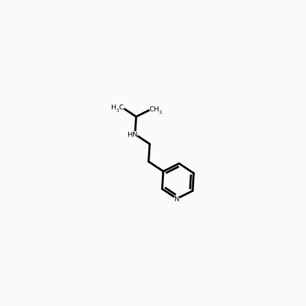 CC(C)NCCc1cccnc1